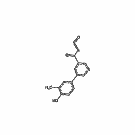 Cc1cc(-c2cncc(C(=O)N=S=O)c2)ccc1O